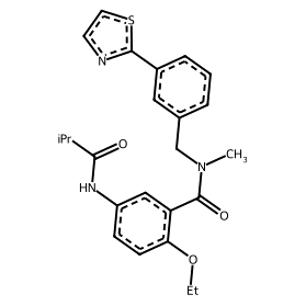 CCOc1ccc(NC(=O)C(C)C)cc1C(=O)N(C)Cc1cccc(-c2nccs2)c1